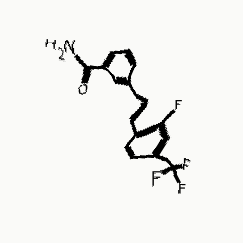 NC(=O)c1cccc(/C=C/c2ccc(C(F)(F)F)cc2F)c1